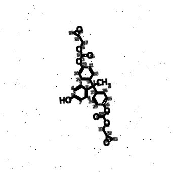 CC(c1ccc(O)cc1)(c1ccc(OC(=O)OCC2CO2)cc1)c1ccc(OC(=O)OCC2CO2)cc1